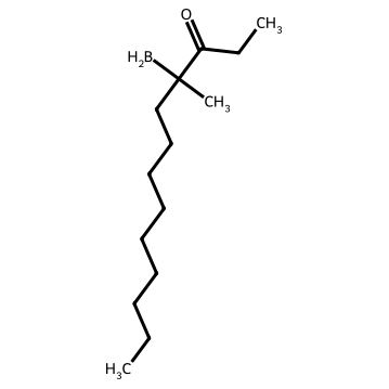 BC(C)(CCCCCCCCC)C(=O)CC